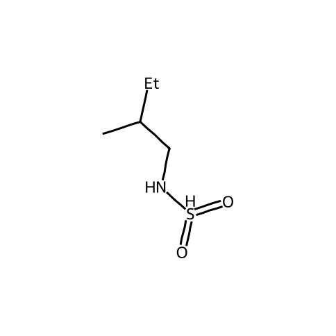 CCC(C)CN[SH](=O)=O